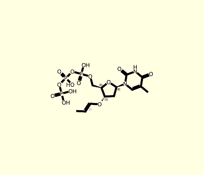 C/C=C/O[C@H]1C[C@H](n2cc(C)c(=O)[nH]c2=O)O[C@@H]1COP(=O)(O)OP(=O)(O)OP(=O)(O)O